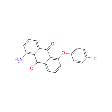 Nc1cccc2c1C(=O)c1cccc(Oc3ccc(Cl)cc3)c1C2=O